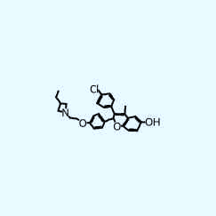 CCC1CN(CCOc2ccc(C3Oc4ccc(O)cc4C(C)=C3c3ccc(Cl)cc3)cc2)C1